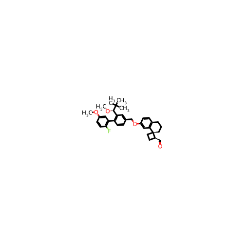 COc1ccc(F)c(-c2ccc(COc3ccc4c(c3)[C@@]3(CCC4)CC[C@@H]3C=O)cc2[C@H](OC)C(C)(C)C)c1